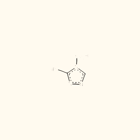 CC(C)c1nncn1C(=O)O